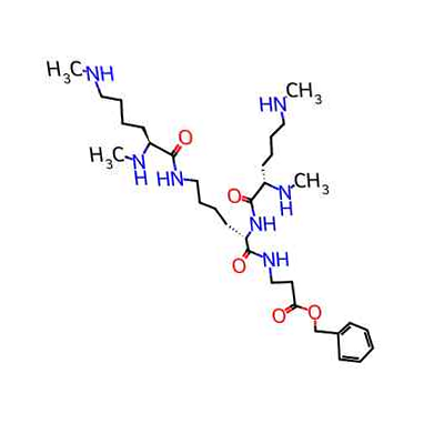 CNCCCC[C@H](NC)C(=O)NCCCC[C@H](NC(=O)[C@H](CCCCNC)NC)C(=O)NCCC(=O)OCc1ccccc1